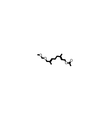 COCOCC(C)=CCCC(C)=CCOC(C)=O